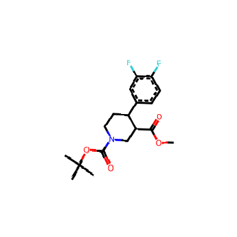 COC(=O)C1CN(C(=O)OC(C)(C)C)CCC1c1ccc(F)c(F)c1